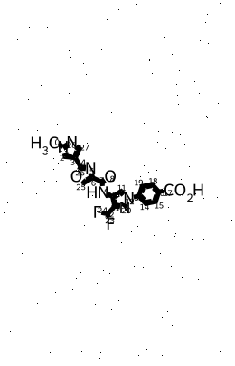 Cn1cc(-c2nc(C(=O)Nc3cn(-c4ccc(C(=O)O)cc4)nc3C(F)F)co2)cn1